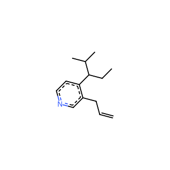 C=CCc1cnccc1C(CC)C(C)C